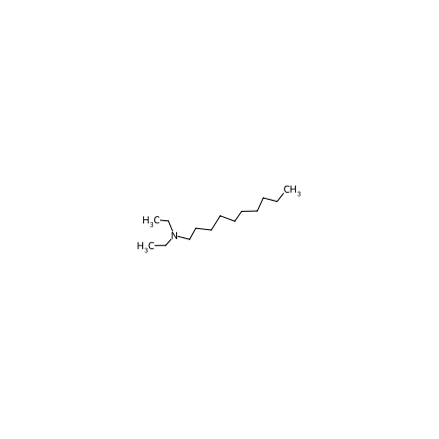 CCCCCCCCCCN(CC)CC